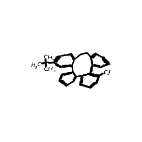 CC(C)(C)c1ccc2c(c1)-c1ccccc1-c1cccc(Cl)c1-c1ccccc1CC2